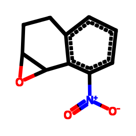 O=[N+]([O-])c1cccc2c1C1OC1CC2